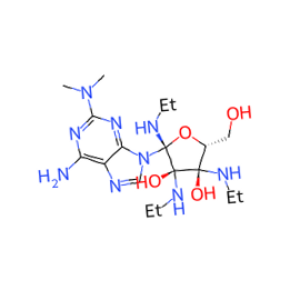 CCN[C@@]1(O)[C@@](O)(NCC)[C@@H](CO)O[C@@]1(NCC)n1cnc2c(N)nc(N(C)C)nc21